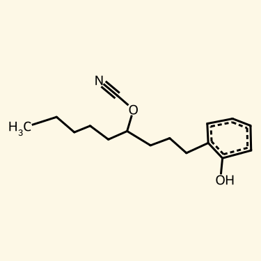 CCCCCC(CCCc1ccccc1O)OC#N